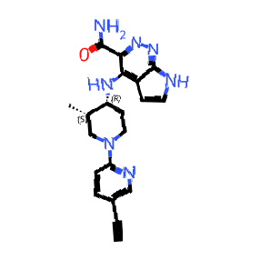 C#Cc1ccc(N2CC[C@@H](Nc3c(C(N)=O)nnc4[nH]ccc34)[C@@H](C)C2)nc1